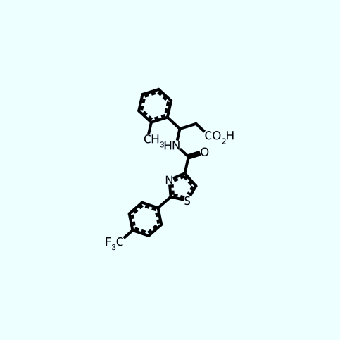 Cc1ccccc1C(CC(=O)O)NC(=O)c1csc(-c2ccc(C(F)(F)F)cc2)n1